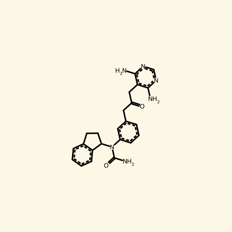 NC(=O)N(c1cccc(CC(=O)Cc2c(N)ncnc2N)c1)C1CCc2ccccc21